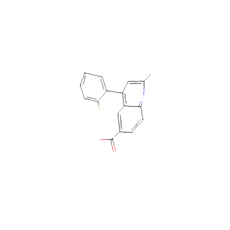 Cc1cc(-c2ccccc2F)c2cc(C(=O)O)ccc2n1